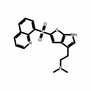 CN(C)CCc1c[nH]c2sc(S(=O)(=O)c3cccc4cccnc34)cc12